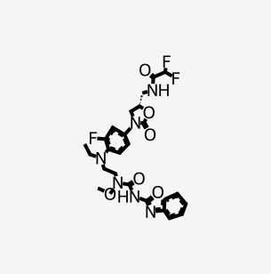 CCN(CCN(OC)C(=O)Nc1nc2ccccc2o1)c1ccc(N2C[C@H](CNC(=O)C(F)F)OC2=O)cc1F